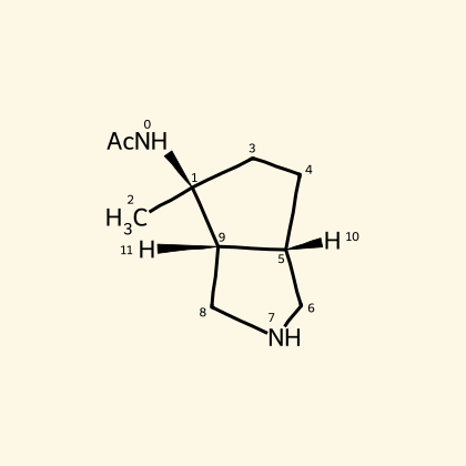 CC(=O)N[C@@]1(C)CC[C@@H]2CNC[C@@H]21